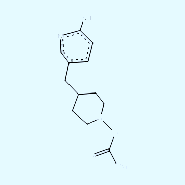 CC(C)(C)C(=O)ON1CCC(Cc2ccc(N)nc2)CC1